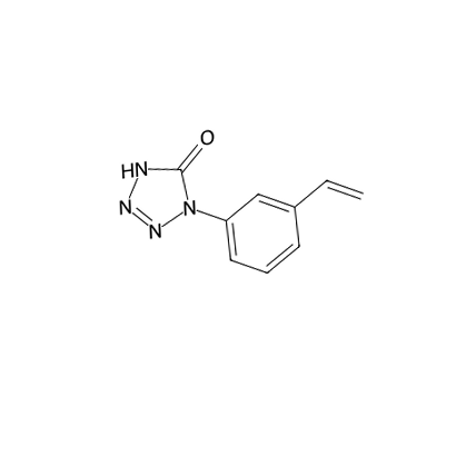 C=Cc1cccc(-n2nn[nH]c2=O)c1